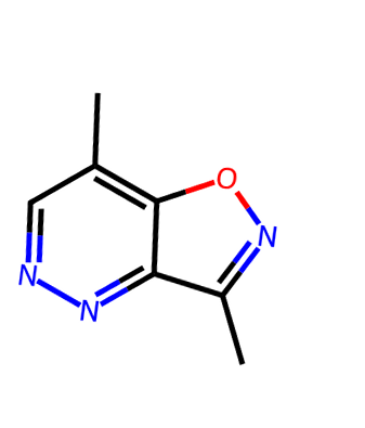 Cc1noc2c(C)cnnc12